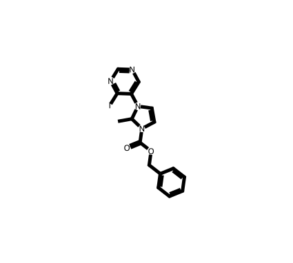 CC1N(C(=O)OCc2ccccc2)C=CN1c1cncnc1I